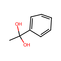 CC(O)(O)c1ccccc1